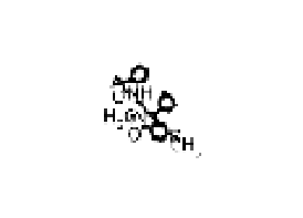 COc1ccc2c(=O)n(C)c(CCNC(=O)C3(c4ccccc4)CC3)c(-c3ccccc3)c2c1